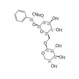 N#C[C@H](O[C@@H]1O[C@H](CO[C@@H]2OC[C@@H](O)[C@H](O)[C@H]2O)[C@@H](O)[C@H](O)[C@H]1O)c1ccccc1